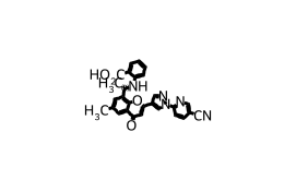 Cc1cc([C@@H](C)Nc2ccccc2C(=O)O)c2oc(-c3cnn(-c4ccc(C#N)cn4)c3)cc(=O)c2c1